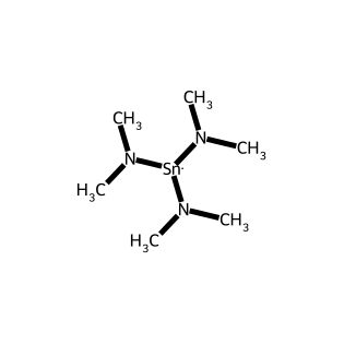 C[N](C)[Sn]([N](C)C)[N](C)C